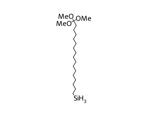 COC(CCCCCCCCCCCCCCCC[SiH3])(OC)OC